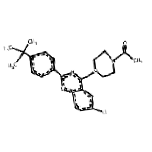 CC(=O)N1CCN(c2nc(-c3ccc(C(C)(C)C)cc3)nc3ccc(Cl)cc23)CC1